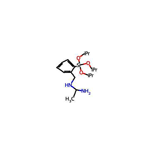 CC(N)NCc1ccccc1[Si](OC(C)C)(OC(C)C)OC(C)C